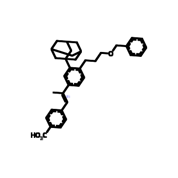 C/C(=C\c1ccc(C(=O)O)cc1)c1ccc(CCCOCc2ccccc2)c(C23CC4CC(CC(C4)C2)C3)c1